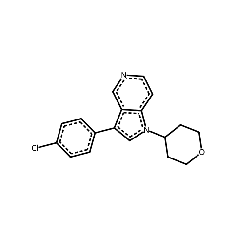 Clc1ccc(-c2cn(C3CCOCC3)c3ccncc23)cc1